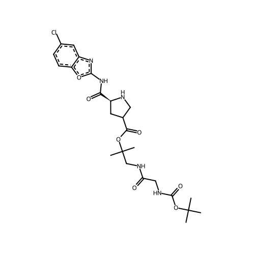 CC(C)(C)OC(=O)NCC(=O)NCC(C)(C)OC(=O)C1CN[C@H](C(=O)Nc2nc3cc(Cl)ccc3o2)C1